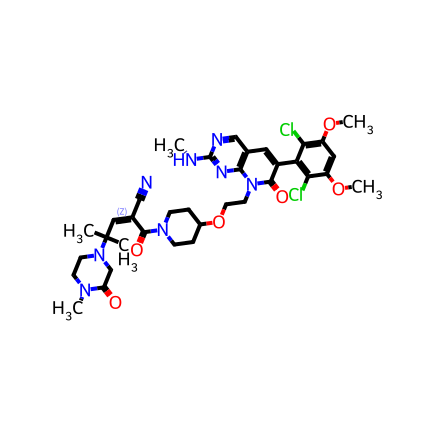 CNc1ncc2cc(-c3c(Cl)c(OC)cc(OC)c3Cl)c(=O)n(CCOC3CCN(C(=O)/C(C#N)=C\C(C)(C)N4CCN(C)C(=O)C4)CC3)c2n1